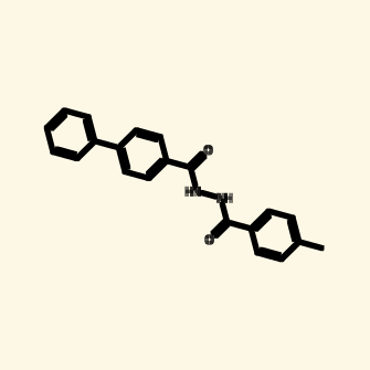 Cc1ccc(C(=O)NNC(=O)c2ccc(-c3ccccc3)cc2)cc1